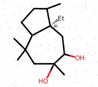 CC[C@]12CC(O)C(C)(O)CC(C)(C)C1CCC2C